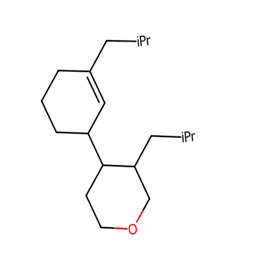 CC(C)CC1=CC(C2CCOCC2CC(C)C)CCC1